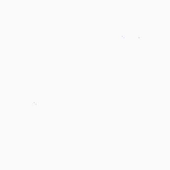 NS(=O)(=O)c1ccccc1-c1csc(CCCC(=O)NO)c1-c1ccc(F)c(Cl)c1